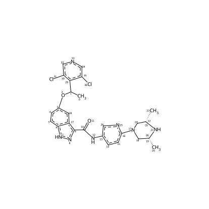 CC(Oc1ccc2[nH]nc(C(=O)Nc3ccc(N4C[C@@H](C)N[C@@H](C)C4)nc3)c2c1)c1c(Cl)cncc1Cl